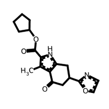 Cc1c(C(=O)OC2CCCC2)[nH]c2c1C(=O)CC(c1ncco1)C2